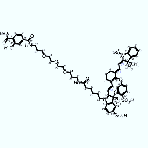 CCCCN1/C(=C/C=C2\CCCC(/C=C/C3=[N+](CCCCCC(=O)NCCCOCCOCCOCCCNC(=O)c4ccc(C(=O)OC)c(C)c4)c4ccc(S(=O)(=O)O)cc4C3(C)C)=C2Oc2ccc(S(=O)(=O)O)cc2)C(C)(C)c2ccccc21